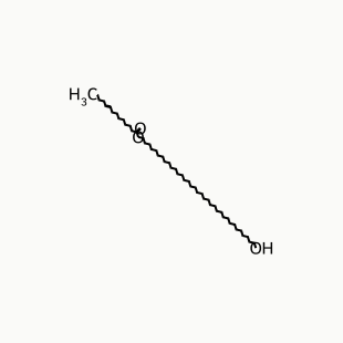 CCCCC=CCCCCCCCC(=O)OCCCCCCCCCCCCCCCCCCCCCCCCCCCCCCCCCCCO